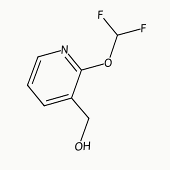 OCc1cccnc1OC(F)F